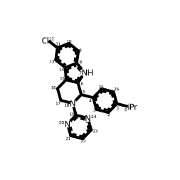 CC(C)c1ccc(C2c3[nH]c4ccc(Cl)cc4c3CCN2c2ncccn2)cc1